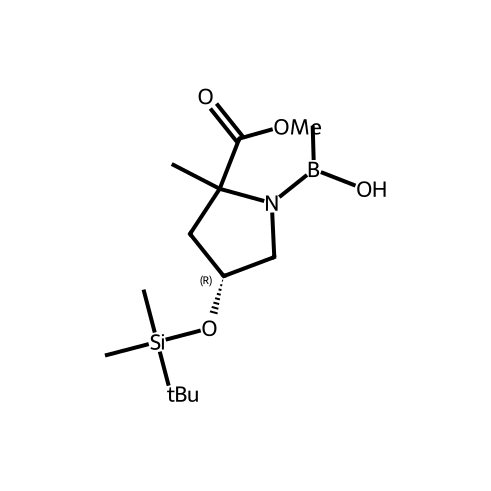 COC(=O)C1(C)C[C@@H](O[Si](C)(C)C(C)(C)C)CN1B(C)O